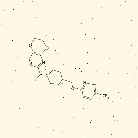 CC(c1ccc2c(n1)OCCO2)N1CCC(COc2ccc(C(F)(F)F)cn2)CC1